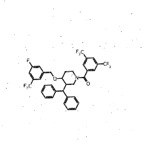 O=C(c1cc(C(F)(F)F)cc(C(F)(F)F)c1)N1CCC(OCc2cc(F)cc(C(F)(F)F)c2)C(C(c2ccccc2)c2ccccc2)C1